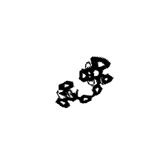 c1ccc(-c2cc(-c3cccc(-c4ccc(-n5c6ccccc6c6c7ccccc7c7c(c65)Oc5ccccc5O7)cc4)c3)nc(-c3ccccc3)n2)cc1